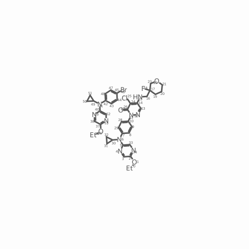 CCOc1cnc(N(c2ccc(-n3ncc(NCC4(F)CCCOC4)c(Cl)c3=O)cc2)C2CC2)cn1.CCOc1cnc(N(c2ccc(Br)cc2)C2CC2)cn1